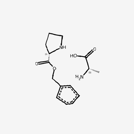 C[C@H](N)C(=O)O.O=C(OCc1ccccc1)[C@@H]1CCCN1